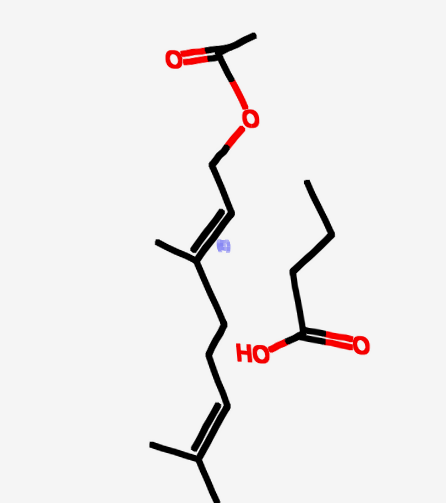 CC(=O)OC/C=C(\C)CCC=C(C)C.CCCC(=O)O